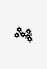 c1ccc(N(c2ccccc2)c2ccc(-c3nc4ccccc4c4nc5ccccn5c34)cc2)cc1